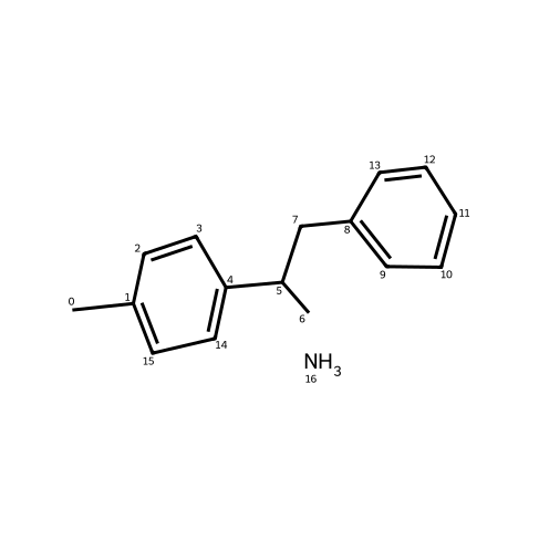 Cc1ccc(C(C)Cc2ccccc2)cc1.N